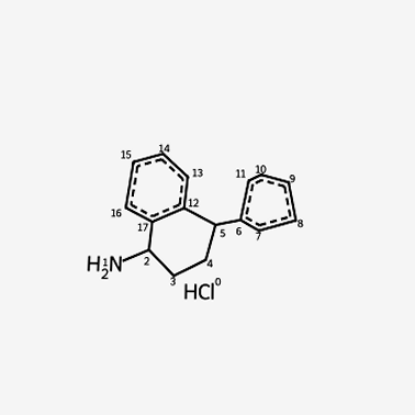 Cl.NC1CCC(c2ccccc2)c2ccccc21